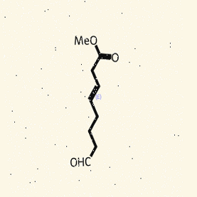 COC(=O)C/C=C/CCCC=O